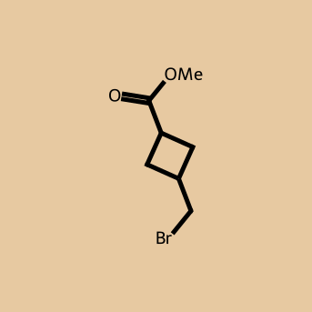 COC(=O)C1CC(CBr)C1